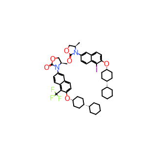 C[C@@H]1COC(=O)N1c1ccc2c(C(F)(F)F)c(O[C@H]3CC[C@@H](C4CCCCC4)CC3)ccc2c1.C[C@@H]1COC(=O)N1c1ccc2c(I)c(O[C@H]3CC[C@@H](C4CCCCC4)CC3)ccc2c1